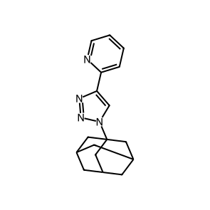 c1ccc(-c2cn(C34CC5CC(CC(C5)C3)C4)nn2)nc1